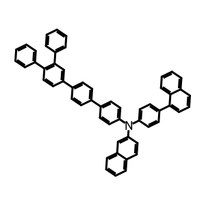 c1ccc(-c2ccc(-c3ccc(-c4ccc(N(c5ccc(-c6cccc7ccccc67)cc5)c5ccc6ccccc6c5)cc4)cc3)cc2-c2ccccc2)cc1